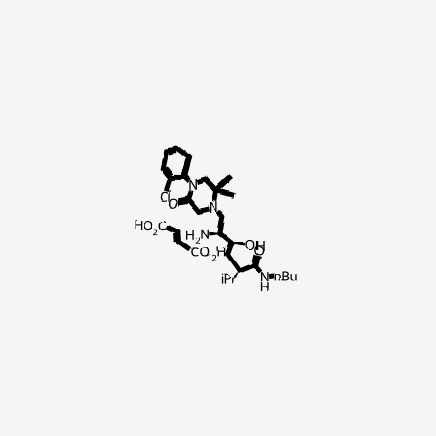 CCCCNC(=O)[C@@H](C[C@H](O)[C@@H](N)CN1CC(=O)N(c2ccccc2Cl)CC1(C)C)C(C)C.O=C(O)C=CC(=O)O